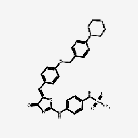 O=C1N=C(Nc2ccc(NS(=O)(=O)C(F)(F)F)cc2)S/C1=C\c1ccc(OCc2ccc(C3CCCCC3)cc2)cc1